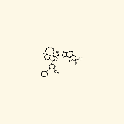 C[C@H]1CN(C(=O)[C@@H]2CC[C@@H]3CCCCC(NC(=O)c4cc5cc(CP(=O)(O)O)ccc5s4)C(=O)N32)C[C@@H]1c1ccccc1